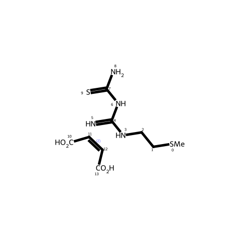 CSCCNC(=N)NC(N)=S.O=C(O)/C=C\C(=O)O